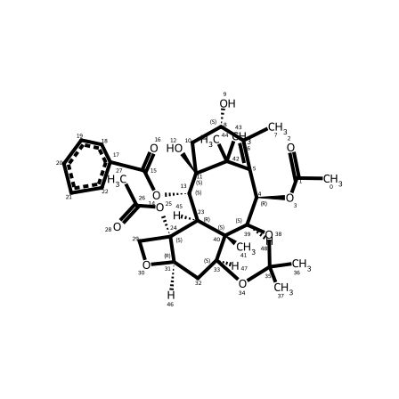 CC(=O)O[C@@H]1C2=C(C)[C@@H](O)C[C@@](O)([C@@H](OC(=O)c3ccccc3)[C@@H]3[C@]4(OC(C)=O)CO[C@@H]4C[C@@H]4OC(C)(C)O[C@H]1[C@]43C)C2(C)C